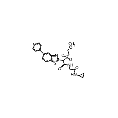 COCCS(=O)(=O)C(C(=O)NCC(=O)NC1CC1)c1nc2cc(-c3ccncc3)ccc2s1